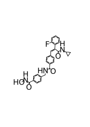 O=C(NC1CC1)C(=Cc1ccc(C(=O)NCc2ccc(C(=O)NO)cc2)cc1)c1ccccc1F